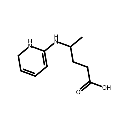 CC(CCC(=O)O)NC1=CC=CCN1